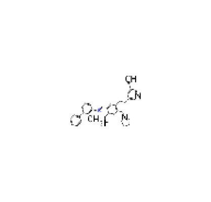 C#Cc1cncc(CCc2cc(/C=C/c3cccc(-c4ccccc4)c3C)c(CF)cc2CN2CCCC2)c1